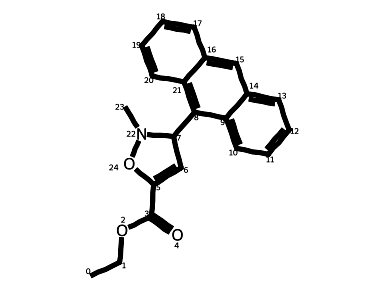 CCOC(=O)C1=CC(c2c3ccccc3cc3ccccc23)N(C)O1